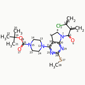 C=C(Cl)C(=C)C(=O)N1CCc2c(N3CCN(C(=O)OC(C)(C)C)CC3)nc(SC)nc21